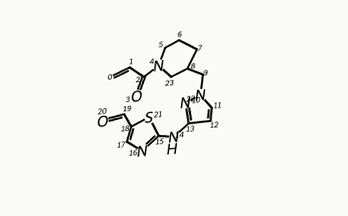 C=CC(=O)N1CCCC(Cn2ccc(Nc3ncc(C=O)s3)n2)C1